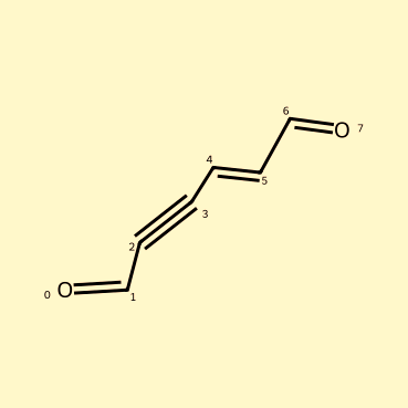 O=CC#CC=CC=O